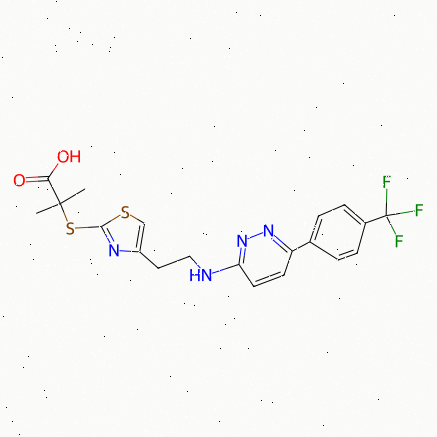 CC(C)(Sc1nc(CCNc2ccc(-c3ccc(C(F)(F)F)cc3)nn2)cs1)C(=O)O